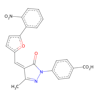 CC1=NN(c2ccc(C(=O)O)cc2)C(=O)C1=Cc1ccc(-c2ccccc2[N+](=O)[O-])o1